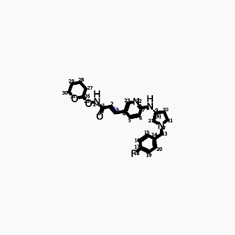 O=C(/C=C/c1ccc(N[C@@H]2CCN(Cc3ccc(F)cc3)C2)nc1)NOC1CCCCO1